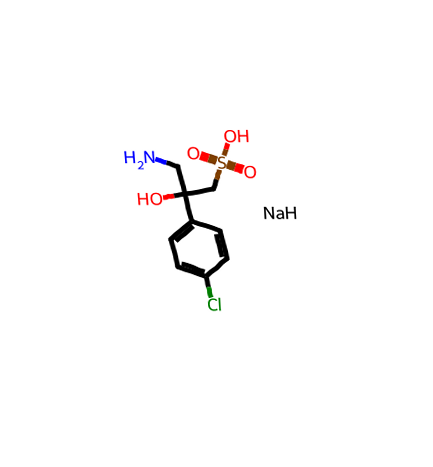 NCC(O)(CS(=O)(=O)O)c1ccc(Cl)cc1.[NaH]